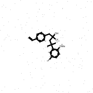 C=Cc1ccc(CC(O)(CC(C)(C)c2cc(F)ccc2OC)C(F)(F)F)cc1